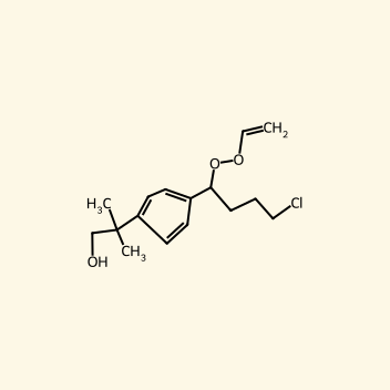 C=COOC(CCCCl)c1ccc(C(C)(C)CO)cc1